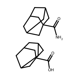 NC(=O)C12CC3CC(CC(C3)C1)C2.O=C(O)C12CC3CC(CC(C3)C1)C2